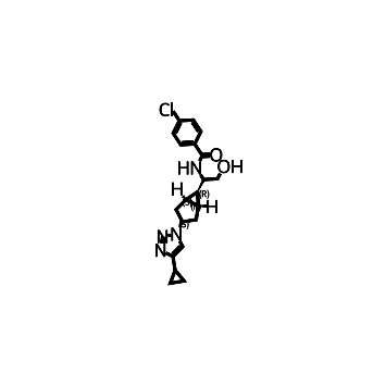 O=C(NC(CO)[C@H]1[C@@H]2C[C@@H](n3cc(C4CC4)nn3)C[C@@H]21)c1ccc(Cl)cc1